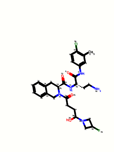 Cc1cc(NC(=O)[C@H](CCN)NC(=O)[C@@H]2Cc3ccccc3CN2C(=O)CCC(O)N2CC(F)C2)ccc1Cl